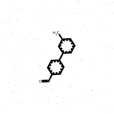 Cc1cccc(-c2ccc([C]=O)cc2)c1